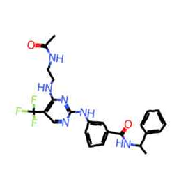 CC(=O)NCCNc1nc(Nc2cccc(C(=O)NC(C)c3ccccc3)c2)ncc1C(F)(F)F